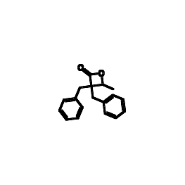 CC1OC(=O)C1(Cc1ccccc1)Cc1ccccc1